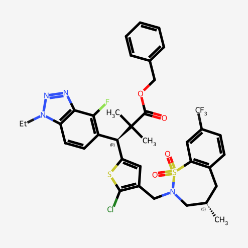 CCn1nnc2c(F)c([C@H](c3cc(CN4C[C@@H](C)Cc5ccc(C(F)(F)F)cc5S4(=O)=O)c(Cl)s3)C(C)(C)C(=O)OCc3ccccc3)ccc21